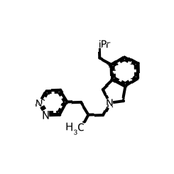 CC(C)Cc1cccc2c1CN(CC(C)Cc1ccnnc1)C2